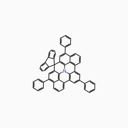 c1ccc(-c2cc3c4c(c2)-c2cccc5c(-c6ccccc6)cc6c(c25)N4c2c(cc(-c4ccccc4)c4cccc-3c24)C62c3ccccc3-c3ccccc32)cc1